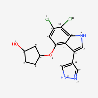 OC1CCC(Oc2cc(Cl)c(Cl)c3[nH]cc(-c4cn[nH]c4)c23)C1